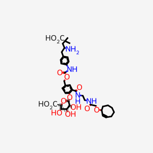 CC(C)(CC(N)Cc1ccc(NC(=O)OCc2ccc(O[C@@H]3O[C@H](C(=O)O)[C@@H](O)[C@H](O)[C@H]3O)c(C(=O)NCCNC(=O)COC3C#CCCCCC3)c2)cc1)C(=O)O